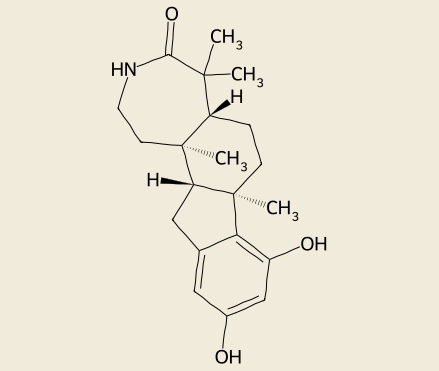 CC1(C)C(=O)NCC[C@]2(C)[C@H]3Cc4cc(O)cc(O)c4[C@]3(C)CC[C@@H]12